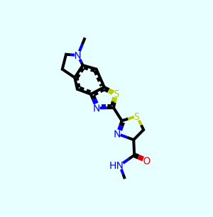 CNC(=O)C1CSC(c2nc3cc4c(cc3s2)N(C)CC4)=N1